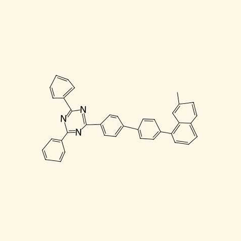 Cc1ccc2cccc(-c3ccc(-c4ccc(-c5nc(-c6ccccc6)nc(-c6ccccc6)n5)cc4)cc3)c2c1